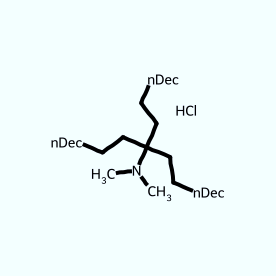 CCCCCCCCCCCCC(CCCCCCCCCCCC)(CCCCCCCCCCCC)N(C)C.Cl